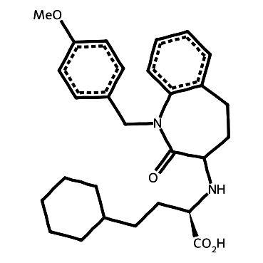 COc1ccc(CN2C(=O)C(N[C@H](CCC3CCCCC3)C(=O)O)CCc3ccccc32)cc1